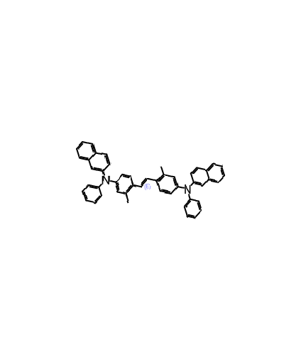 Cc1cc(N(c2ccccc2)c2ccc3ccccc3c2)ccc1/C=C/c1ccc(N(c2ccccc2)c2ccc3ccccc3c2)cc1C